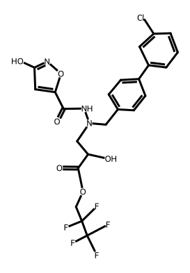 O=C(NN(Cc1ccc(-c2cccc(Cl)c2)cc1)CC(O)C(=O)OCC(F)(F)C(F)(F)F)c1cc(O)no1